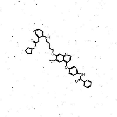 COc1cc2c(Oc3ccc(NC(=O)c4ccccc4)cc3)ccnc2cc1OCCCCNc1ccccc1CC(=O)OC1CCCC1